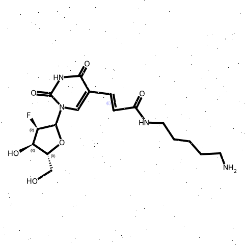 NCCCCCNC(=O)/C=C/c1cn(C2O[C@H](CO)[C@@H](O)[C@H]2F)c(=O)[nH]c1=O